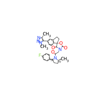 Cc1nnn(C)c1-c1ccc2c(c1)CCC21OC(=O)N(CC(=O)N2[C@@H](C)CC[C@H]2c2ccc(F)cc2)C1=O